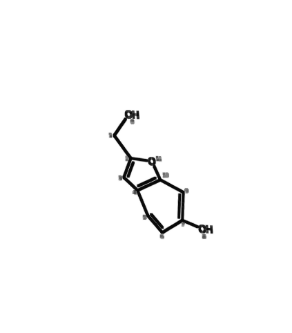 OCc1cc2ccc(O)cc2o1